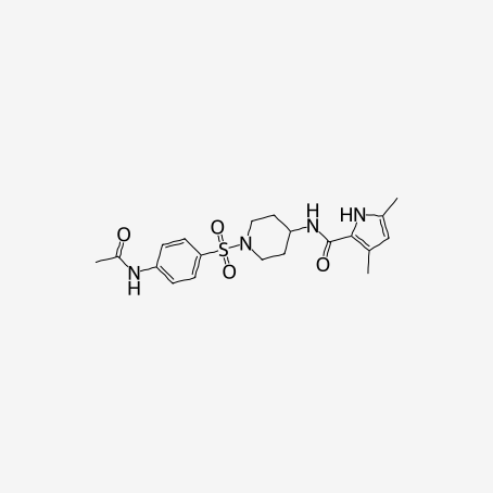 CC(=O)Nc1ccc(S(=O)(=O)N2CCC(NC(=O)c3[nH]c(C)cc3C)CC2)cc1